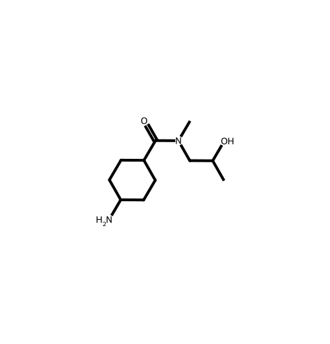 CC(O)CN(C)C(=O)C1CCC(N)CC1